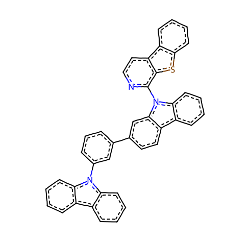 c1cc(-c2ccc3c4ccccc4n(-c4nccc5c4sc4ccccc45)c3c2)cc(-n2c3ccccc3c3ccccc32)c1